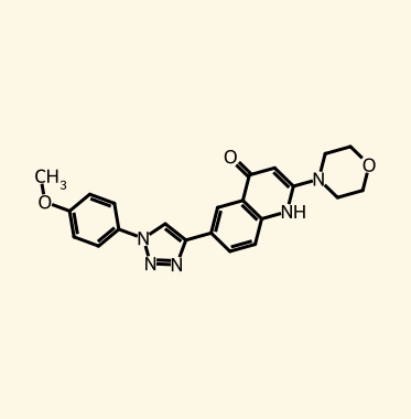 COc1ccc(-n2cc(-c3ccc4[nH]c(N5CCOCC5)cc(=O)c4c3)nn2)cc1